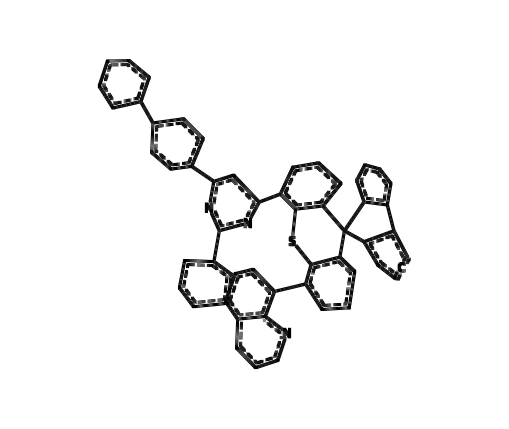 c1ccc(-c2ccc(-c3cc(-c4cccc5c4Sc4c(-c6cccc7cccnc67)cccc4C54c5ccccc5-c5ccccc54)nc(-c4ccccc4)n3)cc2)cc1